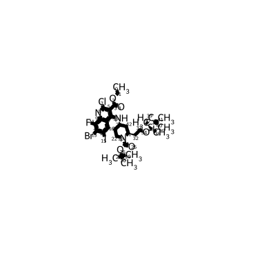 CCOC(=O)c1c(Cl)nc2c(F)c(Br)c(I)cc2c1N[C@H]1CCN(C(=O)OC(C)(C)C)[C@H](CCO[Si](C)(C)C(C)(C)C)C1